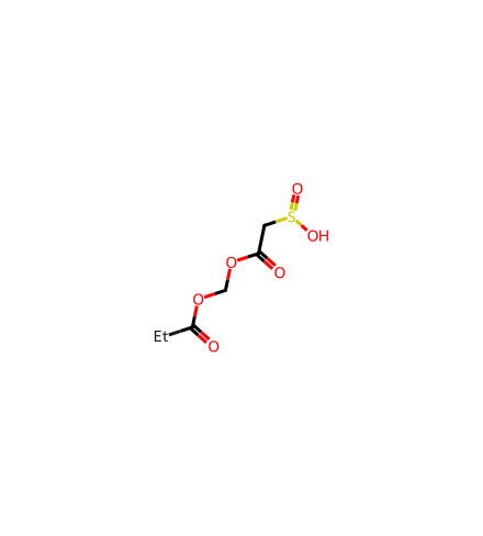 CCC(=O)OCOC(=O)CS(=O)O